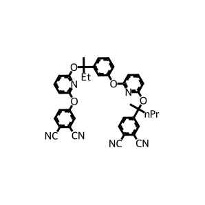 CCCC(C)(Oc1cccc(Oc2cccc(C(C)(CC)Oc3cccc(Oc4ccc(C#N)c(C#N)c4)n3)c2)n1)c1ccc(C#N)c(C#N)c1